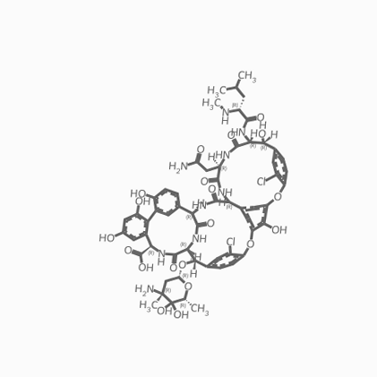 CN[C@H](CC(C)C)C(=O)N[C@H]1C(=O)N[C@H](CC(N)=O)C(=O)N[C@H]2C(=O)N[C@H]3C(=O)N[C@@H](C(=O)N[C@@H](C(=O)O)c4cc(O)cc(O)c4-c4cc3ccc4O)[C@@H](O[C@H]3C[C@@](C)(N)C(O)(O)[C@@H](C)O3)c3ccc(c(Cl)c3)Oc3cc2cc(c3O)Oc2ccc(cc2Cl)[C@H]1O